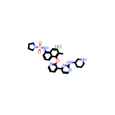 Cc1ccc2c(NS(=O)(=O)N3CCCC3)cccc2c1Oc1ncccc1-c1ccnc(NC2CCCNC2)n1.Cl